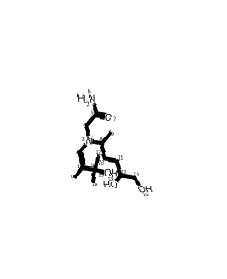 C/C(=C/N(CC(N)=O)C(C)CCC(O)CO)C(C)(C)O